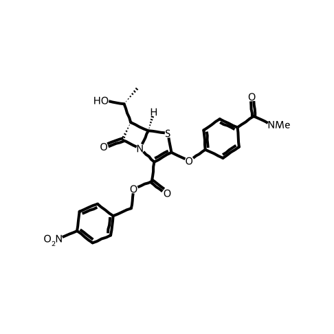 CNC(=O)c1ccc(OC2=C(C(=O)OCc3ccc([N+](=O)[O-])cc3)N3C(=O)[C@H]([C@@H](C)O)[C@H]3S2)cc1